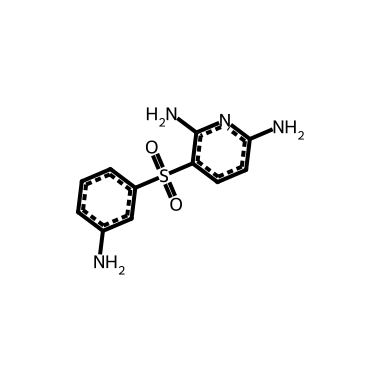 Nc1cccc(S(=O)(=O)c2ccc(N)nc2N)c1